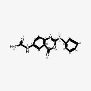 CC(=O)Nc1ccc2nc(Nc3ccccc3)oc(=O)c2c1